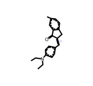 CCN(CC)c1ccc(/C=C2/Cc3ccc(C)cc3C2=O)cc1